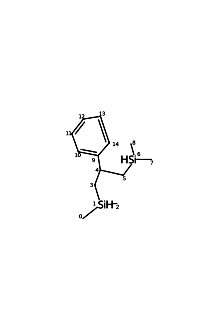 C[SiH](C)CC(C[SiH](C)C)c1ccccc1